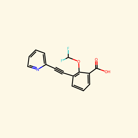 O=C(O)c1cccc(C#Cc2ccccn2)c1OC(F)F